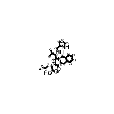 CSCC[C@H](NC(=O)[C@H]1Cc2ccccc2CN1C(=O)[C@@H](NCC1CSCN1)C(C)C)C(=O)O